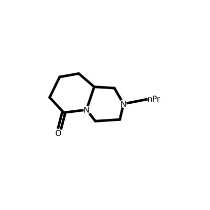 CCCN1CCN2C(=O)CCCC2C1